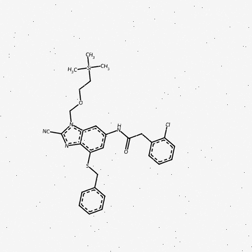 C[Si](C)(C)CCOCn1c(C#N)nc2c(SCc3ccccc3)cc(NC(=O)Cc3ccccc3Cl)cc21